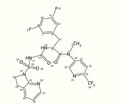 CN(C(=O)C(Cc1cc(F)cc(F)c1)NC(=O)NS(=O)(=O)N1CCc2cccnc21)c1ccc(C(F)(F)F)nc1